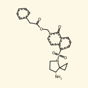 N[C@@H]1CCN(S(=O)(=O)c2cccc3c(=O)n(COC(=O)Cc4ccccc4)ccc23)C12CC2